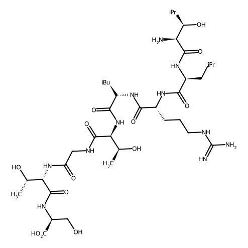 CC[C@H](C)[C@H](NC(=O)[C@@H](CCCNC(=N)N)NC(=O)[C@H](CC(C)C)NC(=O)[C@@H](N)[C@H](O)C(C)C)C(=O)N[C@H](C(=O)NCC(=O)N[C@H](C(=O)N[C@@H](CO)C(=O)O)[C@H](C)O)[C@H](C)O